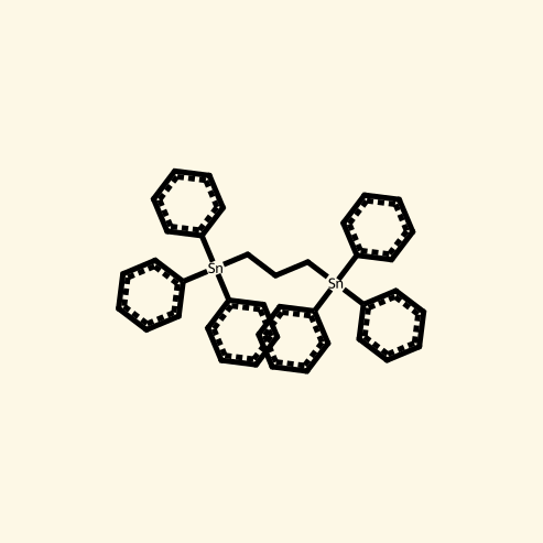 c1cc[c]([Sn]([CH2]C[CH2][Sn]([c]2ccccc2)([c]2ccccc2)[c]2ccccc2)([c]2ccccc2)[c]2ccccc2)cc1